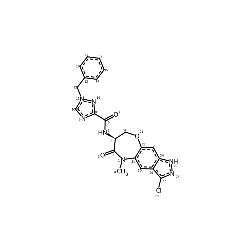 CN1C(=O)[C@@H](NC(=O)c2ncn(Cc3ccccc3)n2)COc2cc3[nH]nc(Cl)c3cc21